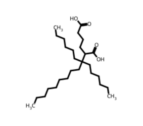 CCCCCCCCCC(CCCCCC)(CCCCCC)C(CCCC(=O)O)C(=O)O